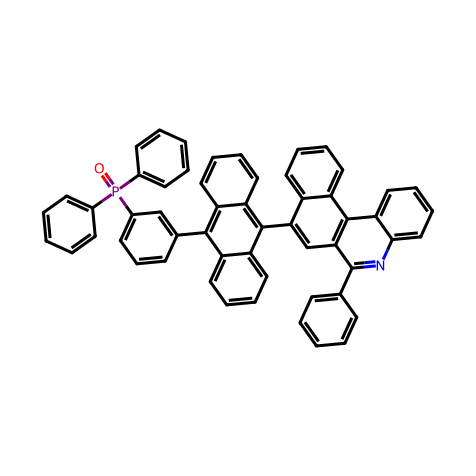 O=P(c1ccccc1)(c1ccccc1)c1cccc(-c2c3ccccc3c(-c3cc4c(-c5ccccc5)nc5ccccc5c4c4ccccc34)c3ccccc23)c1